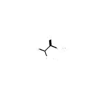 CCCCC(C(=O)O)C(=O)OC